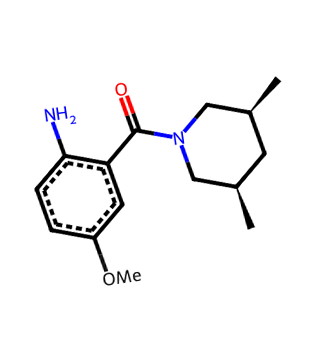 COc1ccc(N)c(C(=O)N2C[C@H](C)C[C@H](C)C2)c1